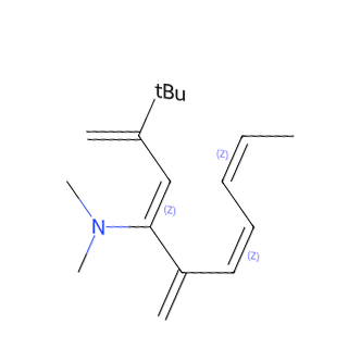 C=C(/C=C\C=C/C)/C(=C/C(=C)C(C)(C)C)N(C)C